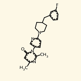 Cc1cc(=O)n(-c2ccc(N3CCC(Cc4cccc(F)c4)CC3)nc2)c(C)n1